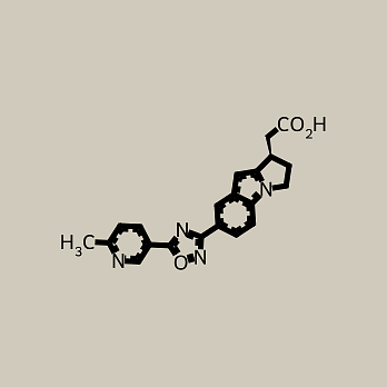 Cc1ccc(-c2nc(-c3ccc4c(c3)cc3n4CC[C@@H]3CC(=O)O)no2)cn1